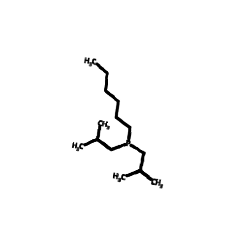 CCCCCCP(CC(C)C)CC(C)C